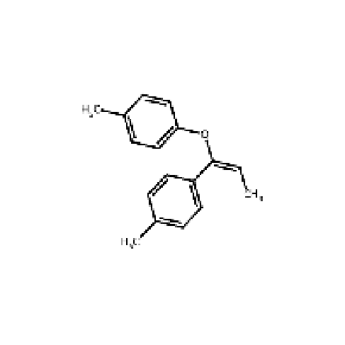 C/C=C(/Oc1ccc(C)cc1)c1ccc(C)cc1